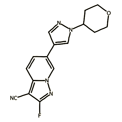 N#Cc1c(F)nn2cc(-c3cnn(C4CCOCC4)c3)ccc12